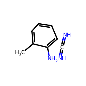 Cc1ccccc1N.N=C=N